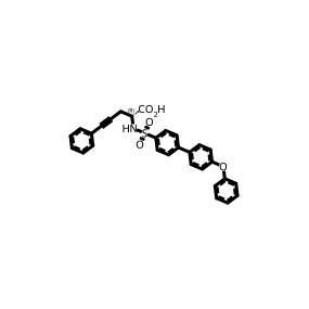 O=C(O)[C@@H](CC#Cc1ccccc1)NS(=O)(=O)c1ccc(-c2ccc(Oc3ccccc3)cc2)cc1